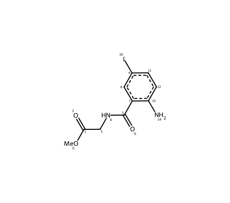 COC(=O)CNC(=O)c1cc(I)ccc1N